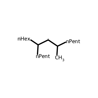 CCCCCCC([CH]C(C)CCCCC)CCCCC